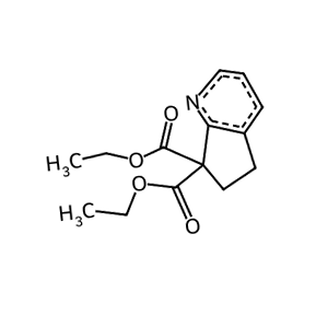 CCOC(=O)C1(C(=O)OCC)CCc2cccnc21